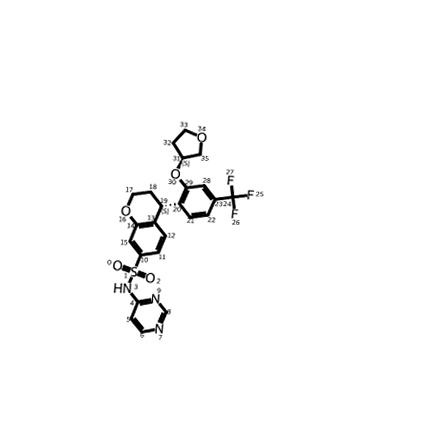 O=S(=O)(Nc1ccncn1)c1ccc2c(c1)OCC[C@@H]2c1ccc(C(F)(F)F)cc1O[C@H]1CCOC1